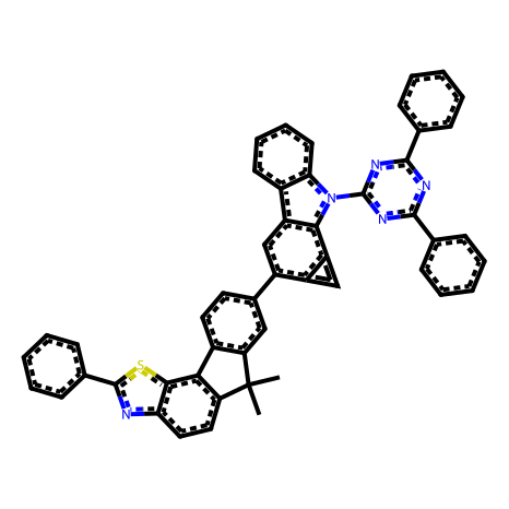 CC1(C)c2cc(-c3cc4c5ccccc5n(-c5nc(-c6ccccc6)nc(-c6ccccc6)n5)c4c4c3=C=4)ccc2-c2c1ccc1nc(-c3ccccc3)sc21